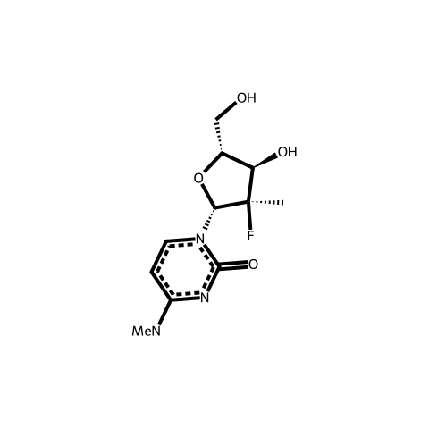 CNc1ccn([C@@H]2O[C@H](CO)[C@@H](O)[C@@]2(C)F)c(=O)n1